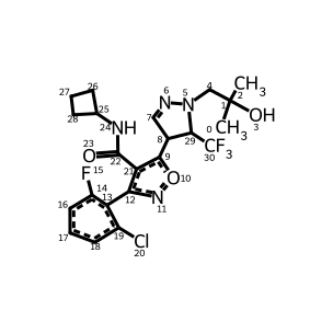 CC(C)(O)CN1N=CC(c2onc(-c3c(F)cccc3Cl)c2C(=O)NC2CCC2)C1C(F)(F)F